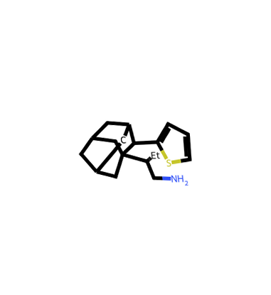 [CH2]CC(CN)C12CC3CC(CC(C3)C1c1cccs1)C2